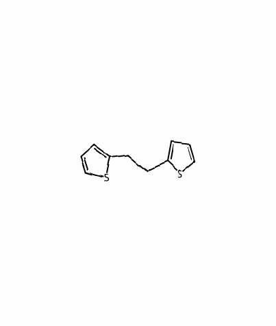 c1csc(CCc2cccs2)c1